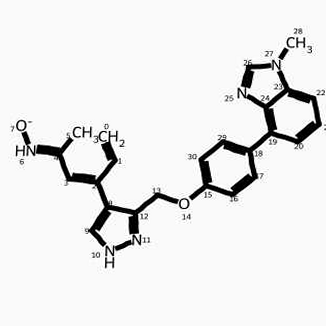 C=C/C(=C\C(C)=[NH+]\[O-])c1c[nH]nc1COc1ccc(-c2cccc3c2ncn3C)cc1